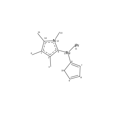 Cc1c(C)[c]([Ru]([C]2=CC=CC2)[CH](C)C)n(C)c1C